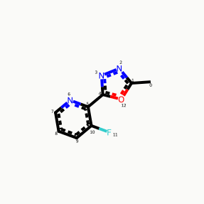 Cc1nnc(-c2ncccc2F)o1